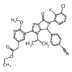 CCOC(=O)Cc1cnc(OC)c(-c2cc3c(n2C(C)C)C(c2ccc(C#N)cc2)N(c2cccc(Cl)c2F)C3=O)c1